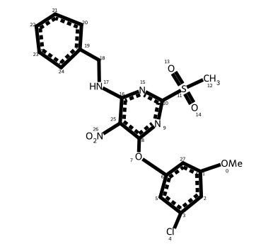 COc1cc(Cl)cc(Oc2nc(S(C)(=O)=O)nc(NCc3ccccc3)c2[N+](=O)[O-])c1